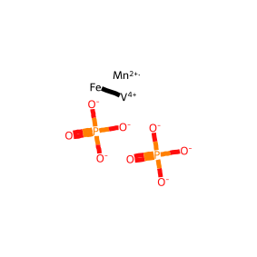 O=P([O-])([O-])[O-].O=P([O-])([O-])[O-].[Mn+2].[V+4][Fe]